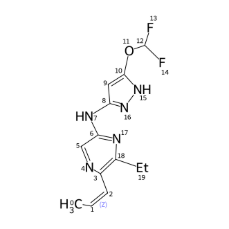 C/C=C\c1ncc(Nc2cc(OC(F)F)[nH]n2)nc1CC